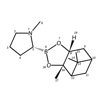 CN1CCC[C@H]1B1O[C@@H]2CC3CC(C3(C)C)[C@]2(C)O1